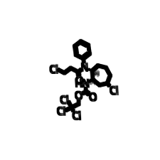 O=C(N[C@@H]1CC(Cl)CCC[C@H]1N(C(=O)CCCl)c1ccccc1)OCC(Cl)(Cl)Cl